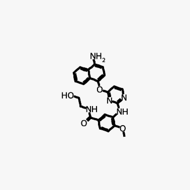 COc1ccc(C(=O)NCCO)cc1Nc1nccc(Oc2ccc(N)c3ccccc23)n1